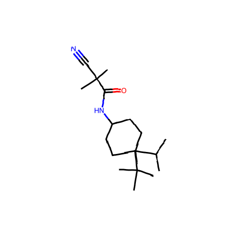 CC(C)C1(C(C)(C)C)CCC(NC(=O)C(C)(C)C#N)CC1